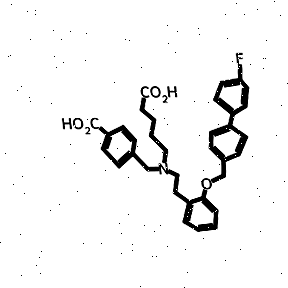 O=C(O)CCCCN(CCc1ccccc1OCc1ccc(-c2ccc(F)cc2)cc1)Cc1ccc(C(=O)O)cc1